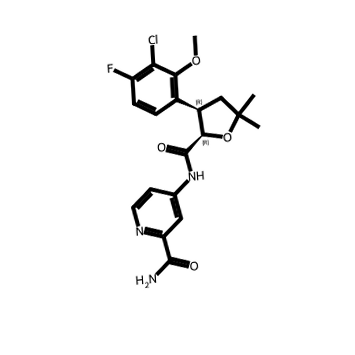 COc1c([C@H]2CC(C)(C)O[C@H]2C(=O)Nc2ccnc(C(N)=O)c2)ccc(F)c1Cl